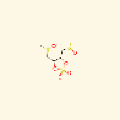 C[S+]([O-])CC1OS(=O)(=O)OC1C[S+](C)[O-]